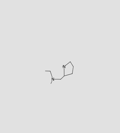 CCN(C)CC1CCC[N]1